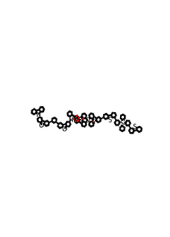 c1ccc([Si](c2ccccc2)(c2cccc(-c3cccc4c3sc3ccccc34)c2)c2cccc(-c3cccc4c3sc3cc(-c5ccc6sc7c([Si](c8ccccc8)(c8cccc(-c9ccc%10c(c9)c9ccccc9n%10-c9ccc%10oc%11ccc(-c%12cccc(-c%13ccc%14oc%15ccc(-n%16c%17ccccc%17c%17ccccc%17%16)cc%15c%14c%13)c%12)cc%11c%10c9)c8)c8cccc9c8sc8ccccc89)cccc7c6c5)ccc34)c2)cc1